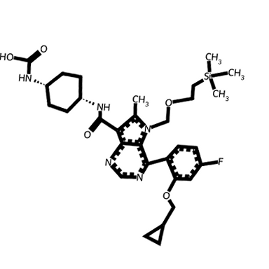 Cc1c(C(=O)N[C@H]2CC[C@@H](NC(=O)O)CC2)c2ncnc(-c3ccc(F)cc3OCC3CC3)c2n1COCC[Si](C)(C)C